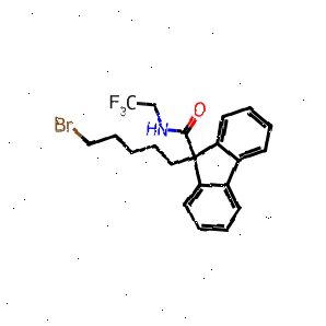 O=C(NCC(F)(F)F)C1(CCCCCBr)c2ccccc2-c2ccccc21